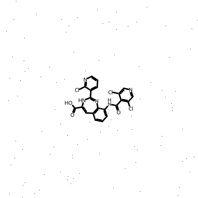 O=C(O)C1=Cc2cccc(NC(=O)c3c(Cl)cncc3Cl)c2N=C(c2cccnc2Cl)N1